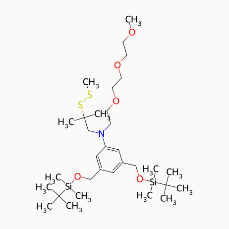 COCCOCCOCCN(CC(C)(C)SSC)c1cc(CO[Si](C)(C)C(C)(C)C)cc(CO[Si](C)(C)C(C)(C)C)c1